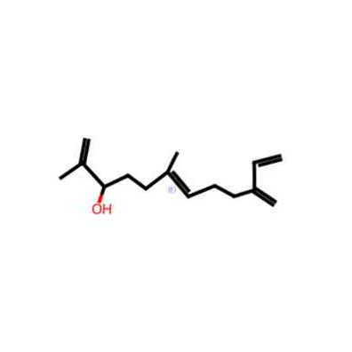 C=CC(=C)CC/C=C(\C)CCC(O)C(=C)C